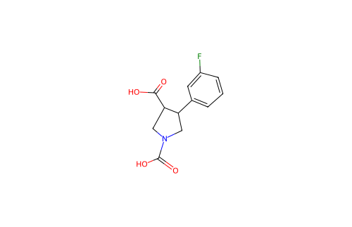 O=C(O)C1CN(C(=O)O)CC1c1cccc(F)c1